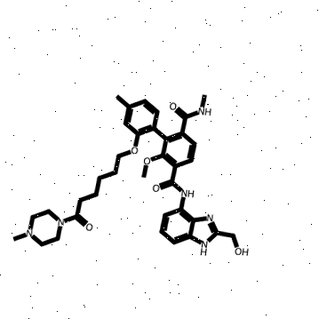 CNC(=O)c1ccc(C(=O)Nc2cccc3[nH]c(CO)nc23)c(OC)c1-c1ccc(C)cc1OCCCCCC(=O)N1CCN(C)CC1